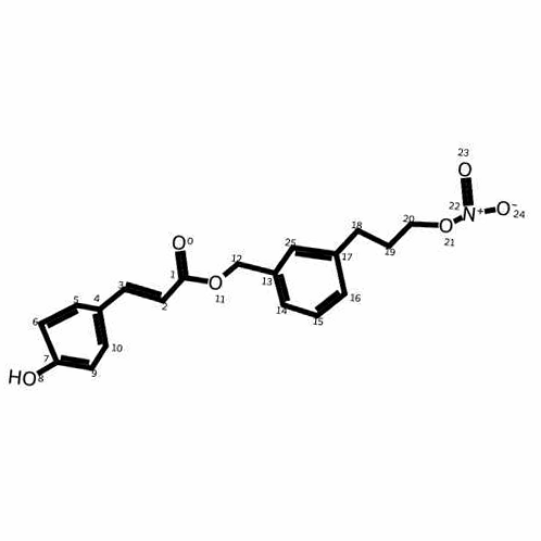 O=C(/C=C/c1ccc(O)cc1)OCc1cccc(CCCO[N+](=O)[O-])c1